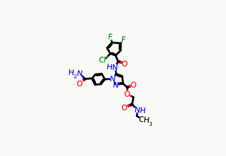 CCNC(=O)COC(=O)c1cc(NC(=O)c2cc(F)c(F)cc2Cl)n(-c2ccc(C(N)=O)cc2)n1